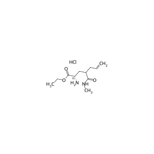 C=CCC(C[C@H](N)C(=O)OCC)C(=O)NC.Cl